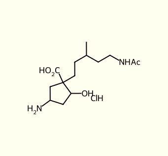 CC(=O)NCCC(C)CCC1(C(=O)O)CC(N)CC1O.Cl